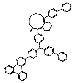 C=C1CCCCC/C(c2ccc(-c3ccccc3)cc2)=C2/CCCC/C2=C/1c1ccc(N(c2ccc(-c3ccccc3)cc2)c2ccc(-c3ccc4c5ccccc5c5ccccc5c4c3)cc2)cc1